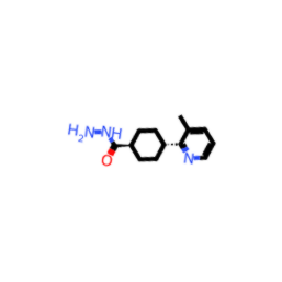 Cc1cccnc1[C@H]1CC[C@H](C(=O)NN)CC1